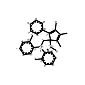 CC1=C(C)[C](C[SiH](c2ccccc2C)c2ccccc2C)([Ti]([CH3])[CH3])C(c2ccccc2)=C1C